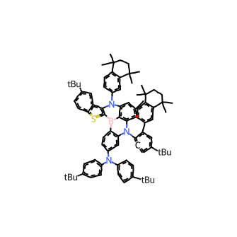 Cc1cc2c3c(c1)N(c1ccc4c(c1)C(C)(C)CCC4(C)C)c1c(sc4ccc(C(C)(C)C)cc14)B3c1ccc(N(c3ccc(C(C)(C)C)cc3)c3ccc(C(C)(C)C)cc3)cc1N2c1ccc(C(C)(C)C)cc1-c1ccc2c(c1)C(C)(C)CCC2(C)C